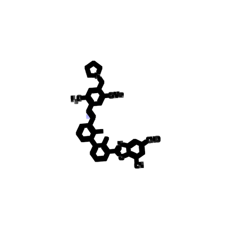 COc1cc(/C=C/c2cccc(-c3cccc(-c4nc5cc(C=O)cc(C#N)c5o4)c3C)c2C)c(C(F)(F)F)cc1CN1CCCC1